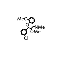 CNCC(OC)C(Oc1ccccc1OC)c1cccc(Cl)c1